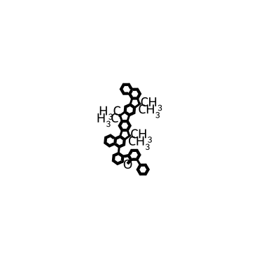 CC1(C)c2cc3c(cc2-c2cc4c(cc21)-c1c(cc(-c2cccc5oc6c(-c7ccccc7)cccc6c25)c2ccccc12)C4(C)C)C(C)(C)c1ccc2ccccc2c1-3